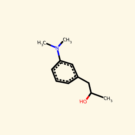 CC(O)Cc1cccc(N(C)C)c1